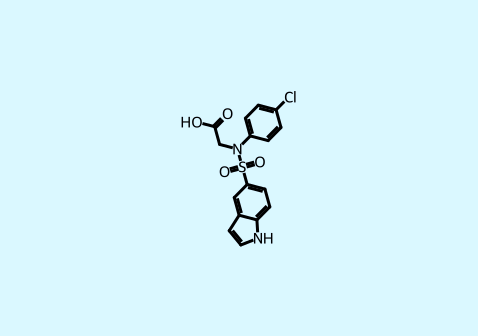 O=C(O)CN(c1ccc(Cl)cc1)S(=O)(=O)c1ccc2[nH]ccc2c1